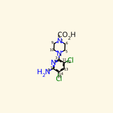 Nc1nc(N2CCN(C(=O)O)CC2)c(Cl)cc1Cl